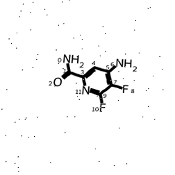 NC(=O)c1cc(N)c(F)c(F)n1